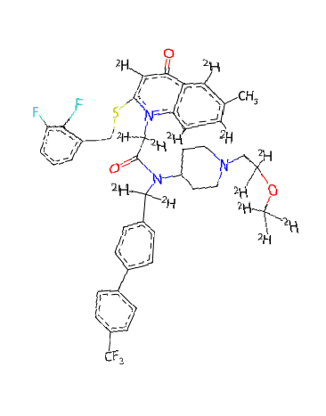 [2H]c1c(C)c([2H])c2c(=O)c([2H])c(SCc3cccc(F)c3F)n(C([2H])([2H])C(=O)N(C3CCN(CC([2H])([2H])OC([2H])([2H])[2H])CC3)C([2H])([2H])c3ccc(-c4ccc(C(F)(F)F)cc4)cc3)c2c1[2H]